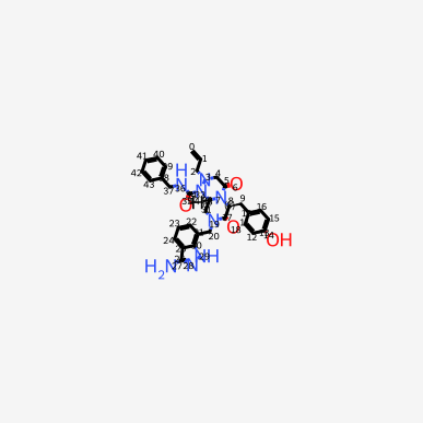 C=CCN1CC(=O)N2[C@@H](Cc3ccc(O)cc3)C(=O)N(Cc3cccc4c(N)n[nH]c34)C[C@@H]2N1C(=O)NCc1ccccc1